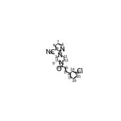 C[C@@H]1CN(c2ncccc2C#N)CCN1C(=O)/C=C/c1cccc(Cl)c1